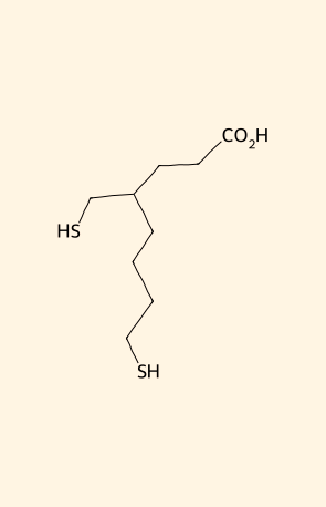 O=C(O)CCC(CS)CCCCS